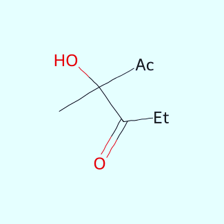 CCC(=O)C(C)(O)C(C)=O